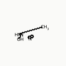 CCCCCCCCCCCCCCCCCc1c[nH]c(CCO)n1.c1ccc2ncccc2c1